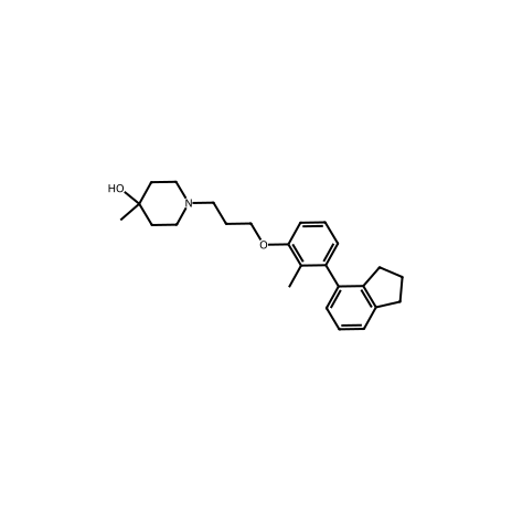 Cc1c(OCCCN2CCC(C)(O)CC2)cccc1-c1cccc2c1CCC2